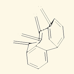 O=C1OC(=O)c2cccc3c2C(=O)OC(=O)c2ccc-3cc21